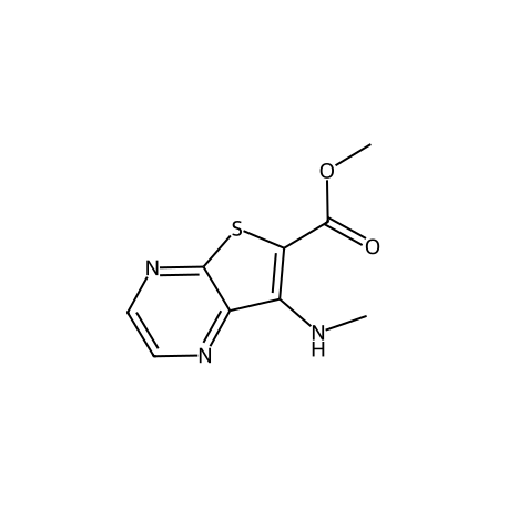 CNc1c(C(=O)OC)sc2nccnc12